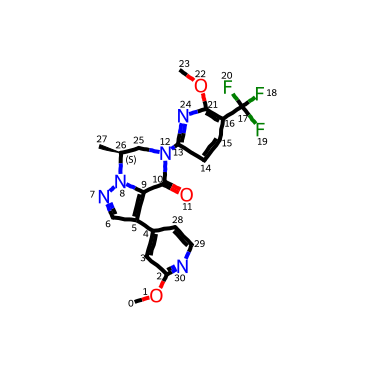 COc1cc(-c2cnn3c2C(=O)N(c2ccc(C(F)(F)F)c(OC)n2)C[C@@H]3C)ccn1